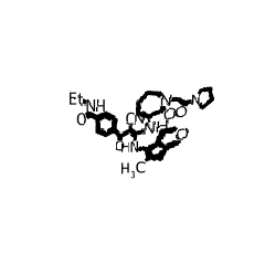 CCNC(=O)c1ccc(C(=O)C(C#N)=C(Nc2c(C)cc3coccc2-3)N[C@H]2CCCCN(CC(=O)N3CCCC3)C2=O)cc1